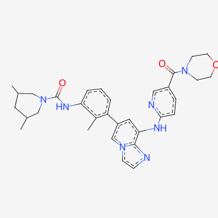 Cc1c(NC(=O)N2CC(C)CC(C)C2)cccc1-c1cc(Nc2ccc(C(=O)N3CCOCC3)cn2)c2nccn2c1